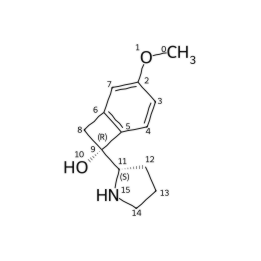 COc1ccc2c(c1)C[C@]2(O)[C@@H]1CCCN1